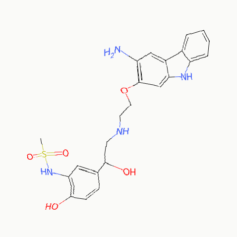 CS(=O)(=O)Nc1cc(C(O)CNCCOc2cc3[nH]c4ccccc4c3cc2N)ccc1O